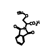 CC(C)(C)OCC(C(=O)O)N1C(=O)c2ccccc2C1=O